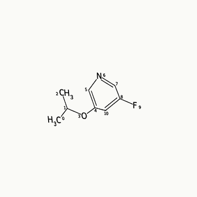 CC(C)Oc1cncc(F)c1